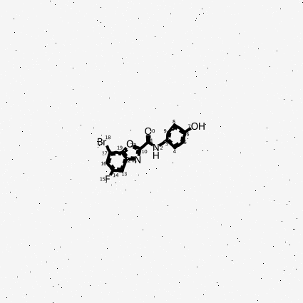 O=C(Nc1ccc(O)cc1)c1nc2cc(F)cc(Br)c2o1